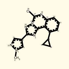 Cn1cc(-c2nc3c4c(C5CC5)cccc4nc(Cl)n3n2)cn1